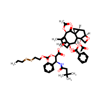 CCCSSCCOC(=O)O[C@@H](C(=O)O[C@H]1C[C@@]2(O)[C@@H](OC(=O)c3ccccc3)[C@@H]3[C@]4(OC(C)=O)CO[C@@H]4C[C@@H]4C[C@@]43C(=O)[C@H](OC(C)=O)C(=C1C)C2(C)C)[C@@H](NC(=O)CC(C)(C)C)c1ccccc1